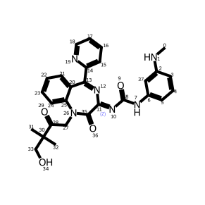 CNc1cccc(NC(=O)/N=c2\nc(-c3ccccn3)c3ccccc3n(CC(=O)C(C)(C)CO)c2=O)c1